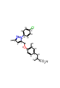 Cc1cc(COc2ccc(CC(C)C(=O)O)cc2C)n(-c2ccc(Cl)cc2)n1